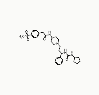 CS(=O)(=O)c1ccc(CC(=O)NN2CCN(CCC(NC(=O)NC3CCCC3)c3ccccc3)CC2)cc1